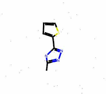 CC1=NN=C(c2cccs2)[N]1